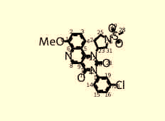 COc1cccc2c1ncc1c(=O)n(-c3cccc(Cl)c3)c(=O)n(C3CCN(S(C)(=O)=O)C3)c12